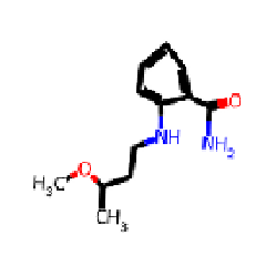 COC(C)CCNc1ccccc1C(N)=O